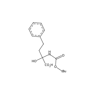 CC(C)(C)OC(=O)NC(O)(CCc1ccccc1)C(=O)O